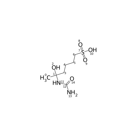 CC(O)(CCCCS(=O)(=O)O)NC(N)=O